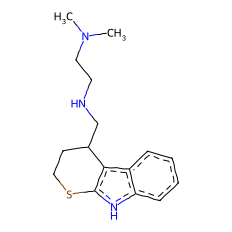 CN(C)CCNCC1CCSc2[nH]c3ccccc3c21